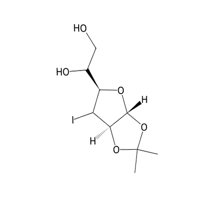 CC1(C)O[C@H]2O[C@H](C(O)CO)C(I)[C@@H]2O1